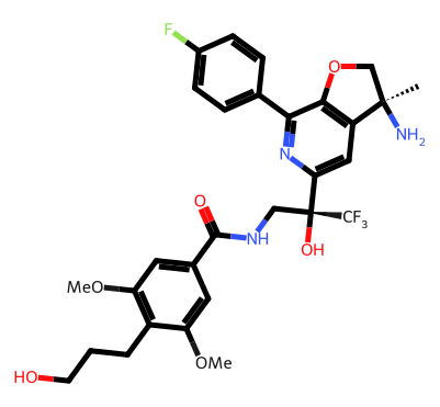 COc1cc(C(=O)NC[C@@](O)(c2cc3c(c(-c4ccc(F)cc4)n2)OC[C@@]3(C)N)C(F)(F)F)cc(OC)c1CCCO